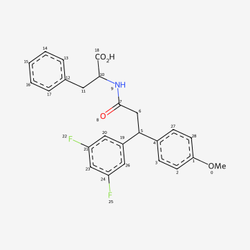 COc1ccc(C(CC(=O)NC(Cc2ccccc2)C(=O)O)c2cc(F)cc(F)c2)cc1